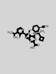 C#C[C@H]1CC[C@H](Cn2c(-c3nccc(C(C)C)c3F)nc3nc(C(=O)O)nc(N[C@H](C)C4CCC4)c32)CC1